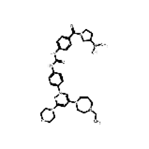 CCN1CCCN(C2=CN(c3ccc(NC(=O)Nc4ccc(C(=O)N5CCC(N(C)C)C5)cc4)cc3)SC(N3CCOCC3)=C2)CC1